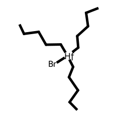 CCCC[CH2][Hf]([Br])([CH2]CCCC)[CH2]CCCC